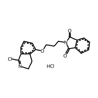 Cl.O=C1c2ccccc2C(=O)N1CCCOc1cccc2c1CCN=C2Cl